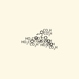 C=CCc1ccc(C(=O)O)c(C(=O)O)c1CC=C.O=C(O)c1ccccc1C(=O)O.O=C(O)c1ccccc1C(=O)O.O=C(O)c1ccccc1C(=O)O.O=C(O)c1ccccc1C(=O)O.O=C(O)c1ccccc1C(=O)O